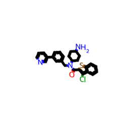 NC1CCC(N(Cc2cccc(-c3cccnc3)c2)C(=O)c2sc3ccccc3c2Cl)CC1